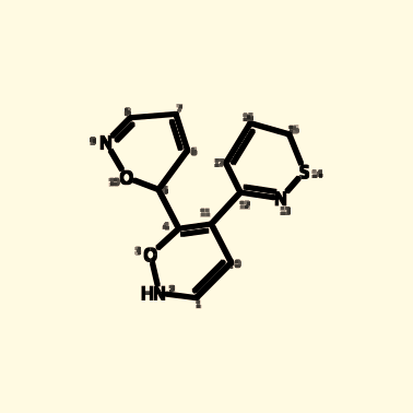 [C]1=CNOC(C2C=CC=NO2)=C1C1=NSCC=C1